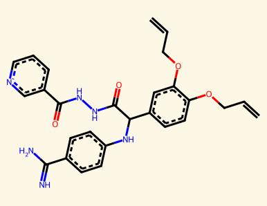 C=CCOc1ccc(C(Nc2ccc(C(=N)N)cc2)C(=O)NNC(=O)c2cccnc2)cc1OCC=C